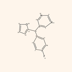 Fc1ccc(C(c2cncnc2)c2ccco2)cc1